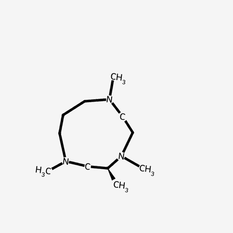 C[C@H]1CN(C)CCCN(C)CCN1C